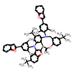 C=C1Oc2ccc(C(C)(C)C)cc2CN(c2c(C)cc(-c3cc4ccccc4o3)cc2C)c2cc(C(C)C)cc3c2B1c1oc2ccc(C(C)(C)C)cc2c1N3c1c(C)cc(-c2cc3ccccc3o2)cc1C